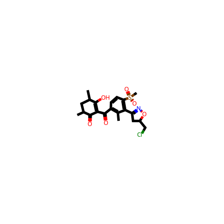 Cc1c(C(=O)C2=C(O)C(C)CC(C)C2=O)ccc(S(C)(=O)=O)c1C1=NOC(CCl)C1